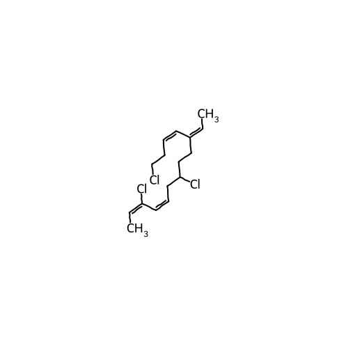 C/C=C(\C=C/CCCl)CCC(Cl)C/C=C\C(Cl)=C/C